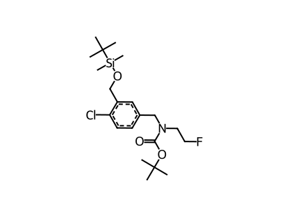 CC(C)(C)OC(=O)N(CCF)Cc1ccc(Cl)c(CO[Si](C)(C)C(C)(C)C)c1